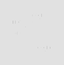 CCOC(=O)C=C[C@H]1[C@@H](C(=O)O)C1(C)C